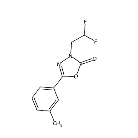 Cc1cccc(-c2nn(CC(F)F)c(=O)o2)c1